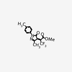 COC(=O)C(=C1C(=O)N(c2ccc(C)cc2)N=C1C)C(F)(F)F